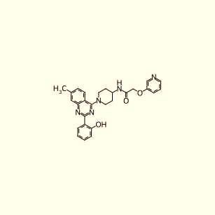 Cc1ccc2c(N3CCC(NC(=O)COc4cccnc4)CC3)nc(-c3ccccc3O)nc2c1